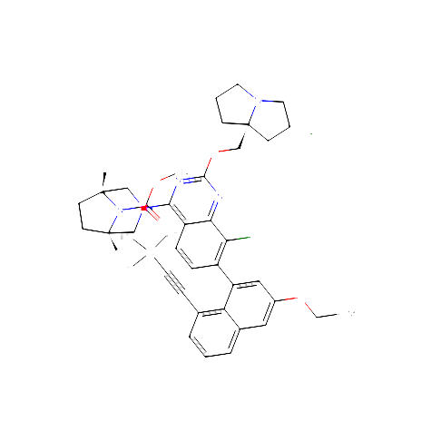 COCOc1cc(-c2ccc3c(N4C[C@H]5CC[C@@H](C4)N5C(=O)OC(C)(C)C)nc(OC[C@@]45CCCN4C[C@H](F)C5)nc3c2F)c2c(C#C[Si](C(C)C)(C(C)C)C(C)C)cccc2c1